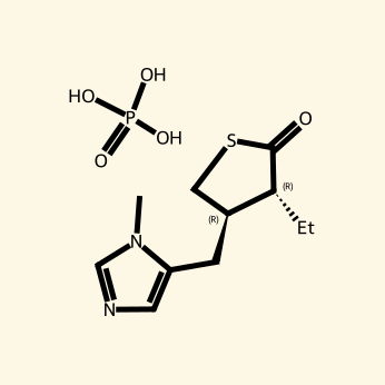 CC[C@H]1C(=O)SC[C@@H]1Cc1cncn1C.O=P(O)(O)O